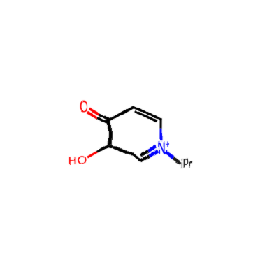 CC(C)[N+]1=CC(O)C(=O)C=C1